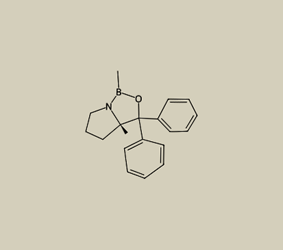 CB1OC(c2ccccc2)(c2ccccc2)[C@]2(C)CCCN12